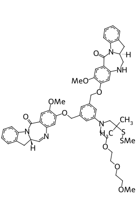 COCCOCCOCCN(CC(C)(C)SSC)c1cc(COc2cc3c(cc2OC)C(=O)N2c4ccccc4C[C@H]2C=N3)cc(COc2cc3c(cc2OC)C(=O)N2c4ccccc4C[C@H]2CN3)c1